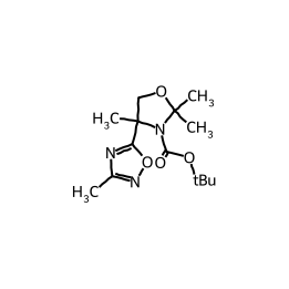 Cc1noc(C2(C)COC(C)(C)N2C(=O)OC(C)(C)C)n1